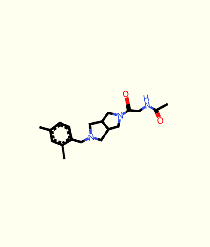 CC(=O)NCC(=O)N1CC2CN(Cc3ccc(C)cc3C)CC2C1